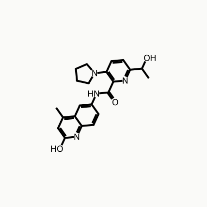 Cc1cc(O)nc2ccc(NC(=O)c3nc(C(C)O)ccc3N3CCCC3)cc12